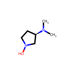 CN(C)[C@@H]1CCN(O)C1